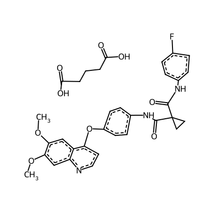 COc1cc2nccc(Oc3ccc(NC(=O)C4(C(=O)Nc5ccc(F)cc5)CC4)cc3)c2cc1OC.O=C(O)CCCC(=O)O